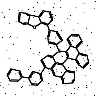 c1ccc(-c2cccc(-c3ccc(N(c4ccc(-c5cccc6c5oc5ccccc56)cc4)c4c(-c5cccc6ccccc56)c5ccccc5c5ccccc45)cc3)c2)cc1